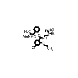 C=CCOc1cc(Cl)ccc1C(=O)NCCN(CC)CC.CN[C@@H](C)[C@H](O)c1ccccc1.Cl.Cl